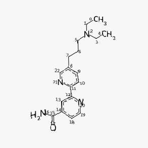 CCN(CC)CCCc1ccc(-c2cc(C(N)=O)ccn2)nc1